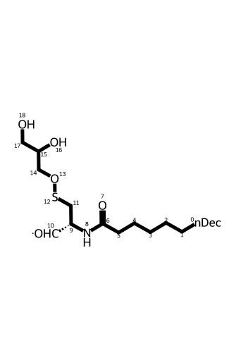 CCCCCCCCCCCCCCCC(=O)N[C@H]([C]=O)CSOCC(O)CO